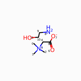 C[N+](C)(C)CC(=O)[O-].NCCO